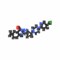 O=c1[nH]c(C2=C[C@H](N3CCN(c4ccc(Cl)cn4)CC3)CC2)nc2c1CC1(CC2)CC1